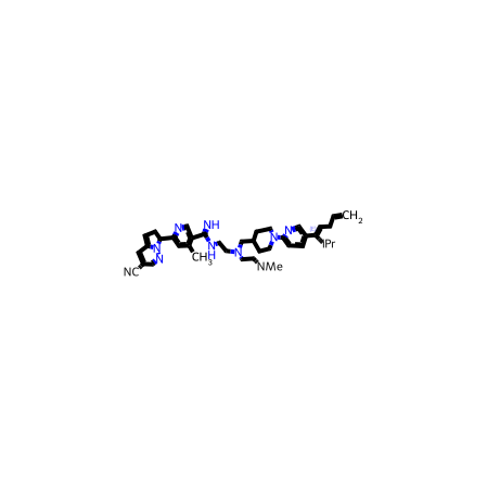 C=CC/C=C(/c1ccc(N2CCC(CN(CCNC)CCNC(=N)c3cnc(C4CC=C5C=C(C#N)C=NN54)cc3C)CC2)nc1)C(C)C